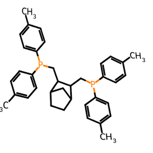 Cc1ccc(P(CC2C3CCC(C3)C2CP(c2ccc(C)cc2)c2ccc(C)cc2)c2ccc(C)cc2)cc1